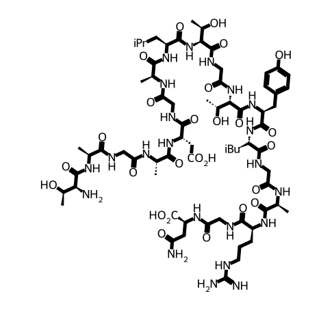 CC[C@H](C)[C@H](NC(=O)[C@H](Cc1ccc(O)cc1)NC(=O)[C@@H](NC(=O)CNC(=O)[C@@H](NC(=O)[C@H](CC(C)C)NC(=O)[C@H](C)NC(=O)CNC(=O)[C@H](CC(=O)O)NC(=O)[C@H](C)NC(=O)CNC(=O)[C@H](C)NC(=O)[C@@H](N)[C@@H](C)O)[C@@H](C)O)[C@@H](C)O)C(=O)NCC(=O)N[C@@H](C)C(=O)N[C@@H](CCCNC(=N)N)C(=O)NCC(=O)N[C@@H](CC(N)=O)C(=O)O